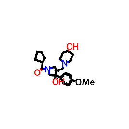 COc1ccc([C@@]2(O)CN(C(=O)C3CCCC3)C[C@H]2CN2CCC(O)CC2)cc1